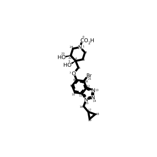 O=C(O)N1CC[C@](O)(COc2ccc3c(nnn3CC3CC3)c2Br)[C@@H](O)C1